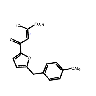 COc1ccc(Cc2ccc(C(=O)/C=C(\O)C(=O)O)o2)cc1